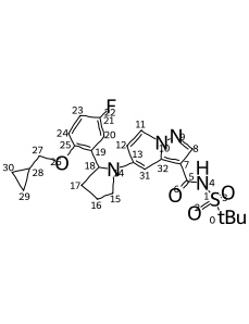 CC(C)(C)S(=O)(=O)NC(=O)c1cnn2ccc(N3CCCC3c3cc(F)ccc3OCC3CC3)cc12